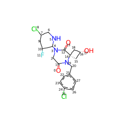 O=C1CN(C2NCC(Cl)CC2F)C(=O)[C@]2(C[C@@H](O)C2)N1Cc1ccc(Cl)cc1